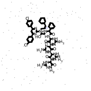 N=C(N)NC(NC(=O)C(NC(=N)N)NC(=O)C(NC(=N)N)NC(=O)C(NC(=N)N)NC(=O)C(NCC(O)N(C/C=C\c1ccccc1)c1nc(-c2ccc(Cl)cc2)cc(-c2ccc(Cl)cc2)n1)c1ccccc1)C(N)=O